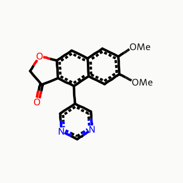 COc1cc2cc3c(c(-c4cncnc4)c2cc1OC)C(=O)CO3